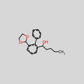 CCCCC(O)c1cccc(C2OCCO2)c1-c1ccccc1